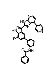 O=C(Nc1cncc(-c2cc(F)c3[nH]nc(-c4nc5c(-c6ccncc6)ccnc5[nH]4)c3c2)c1)c1ccccc1